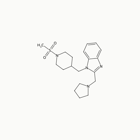 CS(=O)(=O)N1CCC(Cn2c(CN3CCCC3)nc3ccccc32)CC1